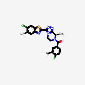 [2H]c1cc(C(=O)N2CCn3c(-c4nc5cc(C#N)c(Cl)cc5s4)nnc3[C@H]2C)ccc1F